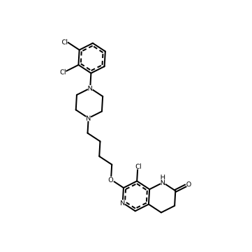 O=C1CCc2cnc(OCCCCN3CCN(c4cccc(Cl)c4Cl)CC3)c(Cl)c2N1